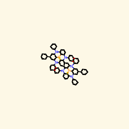 S=P12c3c4cc(-c5ccccc5)cc3N(c3ccccc3)c3cc5c6c7c(cc5c(c31)N(c1ccccc1)c1cccc(c12)N4c1ccccc1)N(c1ccccc1)c1cc(-c2ccccc2)cc2c1P7(=S)c1c(cccc1N6c1ccccc1)N2c1ccccc1